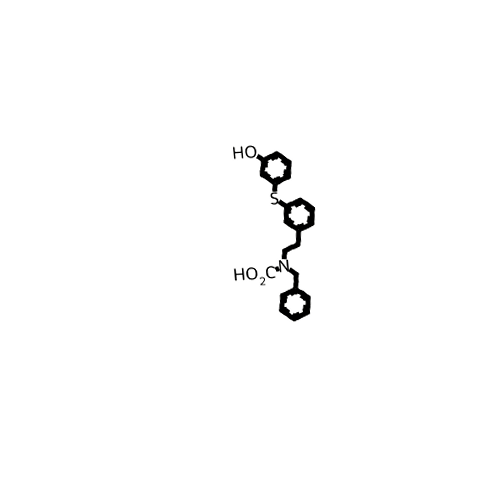 O=C(O)N(CCc1cccc(Sc2cccc(O)c2)c1)Cc1ccccc1